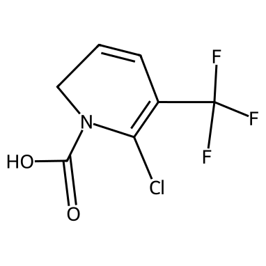 O=C(O)N1CC=CC(C(F)(F)F)=C1Cl